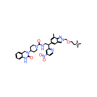 Cc1cc(C(CNC(=O)N2CCC(N3Cc4ccccc4NC3=O)CC2)c2cc([N+](=O)[O-])ccn2)cc2cn(COCC[Si](C)(C)C)nc12